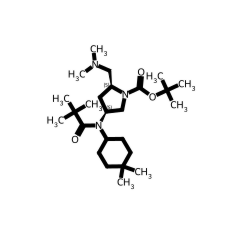 CN(C)C[C@@H]1C[C@H](N(C(=O)C(C)(C)C)C2CCC(C)(C)CC2)CN1C(=O)OC(C)(C)C